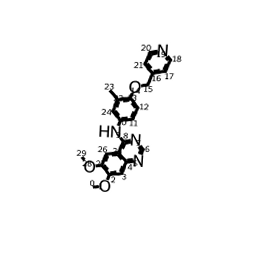 COc1cc2ncnc(Nc3ccc(OCc4ccncc4)c(C)c3)c2cc1OC